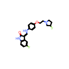 O=C1Nc2ccc(F)cc2C1=CNc1ccc(OCCN2CCC(F)C2)cc1